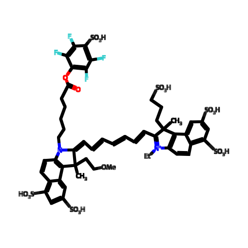 CC[N+]1=C(/C=C/C=C/C=C/C=C2/N(CCCCCC(=O)Oc3c(F)c(F)c(S(=O)(=O)O)c(F)c3F)c3ccc4c(S(=O)(=O)O)cc(S(=O)(=O)O)cc4c3C2(C)CCOC)C(C)(CCCS(=O)(=O)O)c2c1ccc1c(S(=O)(=O)O)cc(S(=O)(=O)O)cc21